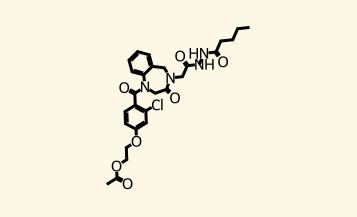 CCCCC(=O)NNC(=O)CN1Cc2ccccc2N(C(=O)c2ccc(OCCOC(C)=O)cc2Cl)CC1=O